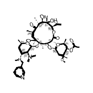 CC[C@H]1OC(=O)[C@H](C)[C@@H](O[C@H]2C[C@@](C)(OC)[C@@H](OC(C)=O)[C@H](C)O2)[C@H](C)[C@@H](O[C@@H]2O[C@H](C)C[C@@H](N(C)Cc3cccnc3)[C@@H]2N(C)C)[C@@](C)(OC)C[C@@H](C)C(=O)[C@H](C)[C@@H](O)[C@]1(C)O